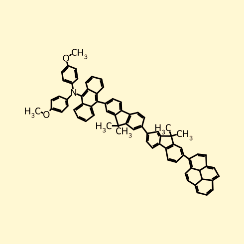 COc1ccc(N(c2ccc(OC)cc2)c2c3ccccc3c(-c3ccc4c(c3)C(C)(C)c3cc(-c5ccc6c(c5)C(C)(C)c5cc(C7=C8C=CC9=CC=CC%10=CC=C(C=C7)C8C9%10)ccc5-6)ccc3-4)c3ccccc23)cc1